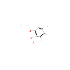 COC(=O)c1cc(Cl)c(Br)c(F)c1[N+](=O)[O-]